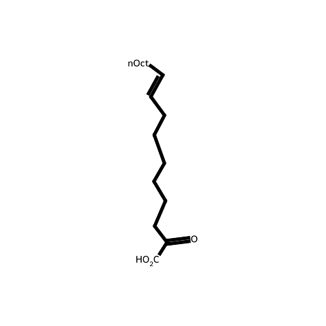 CCCCCCCC/C=C/CCCCCCC(=O)C(=O)O